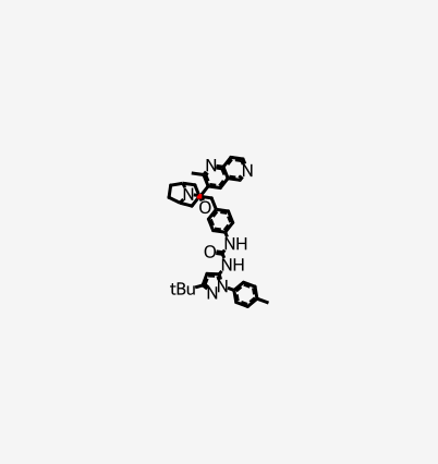 Cc1ccc(-n2nc(C(C)(C)C)cc2NC(=O)Nc2ccc(CC3CC4CCC(C3)N4C(=O)c3cc4cnccc4nc3C)cc2)cc1